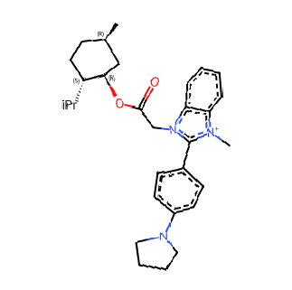 CC(C)[C@@H]1CC[C@@H](C)C[C@H]1OC(=O)Cn1c(-c2ccc(N3CCCC3)cc2)[n+](C)c2ccccc21